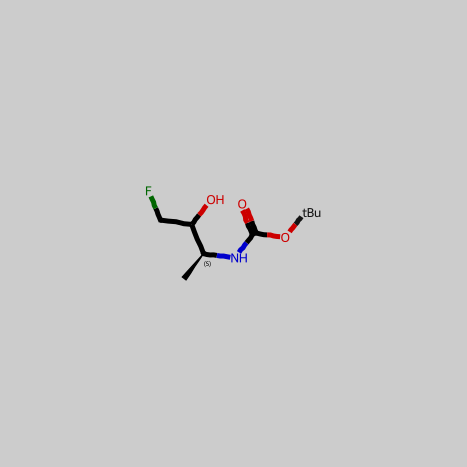 C[C@H](NC(=O)OC(C)(C)C)C(O)CF